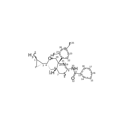 C[C@@H]1C[C@H]1[C@H]1C[C@H]2CSC(NC(=O)c3ccccc3)=N[C@@]2(c2ccc(F)cc2F)CO1